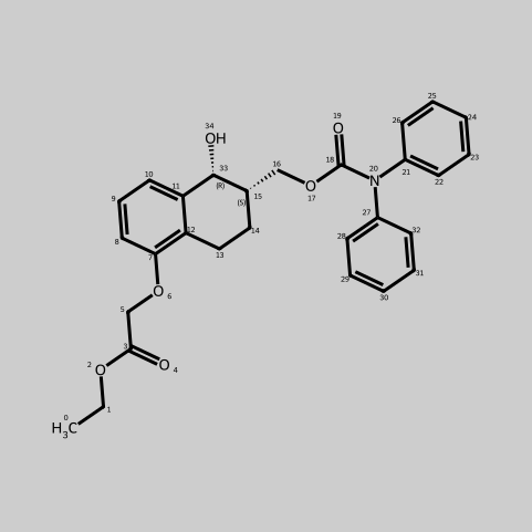 CCOC(=O)COc1cccc2c1CC[C@@H](COC(=O)N(c1ccccc1)c1ccccc1)[C@H]2O